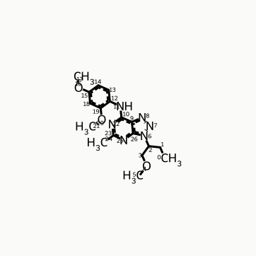 CCC(COC)n1nnc2c(Nc3ccc(OC)cc3OC)nc(C)nc21